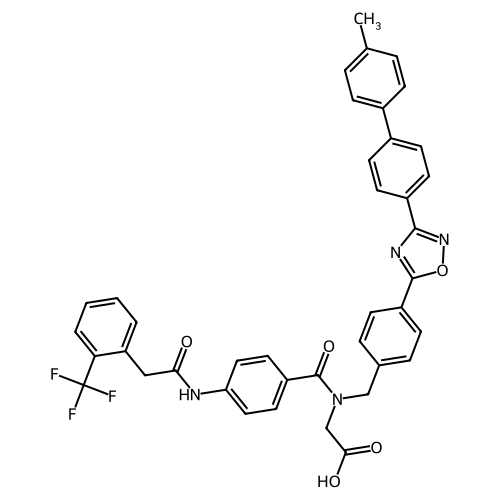 Cc1ccc(-c2ccc(-c3noc(-c4ccc(CN(CC(=O)O)C(=O)c5ccc(NC(=O)Cc6ccccc6C(F)(F)F)cc5)cc4)n3)cc2)cc1